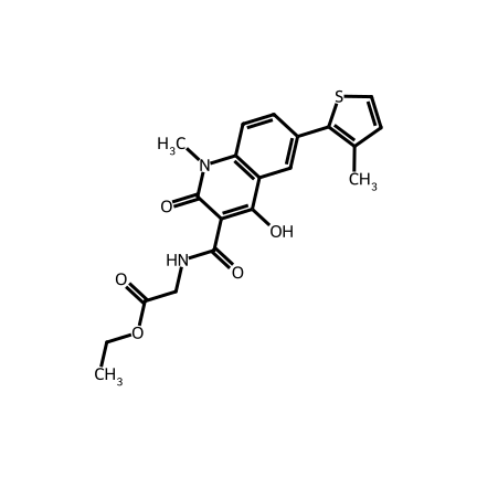 CCOC(=O)CNC(=O)c1c(O)c2cc(-c3sccc3C)ccc2n(C)c1=O